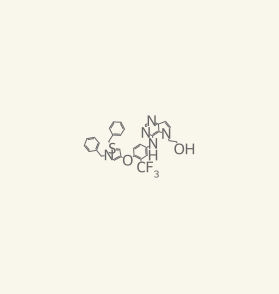 OCCn1ccc2ncnc(Nc3ccc(OC4=CN(Cc5ccccc5)S(Cc5ccccc5)=C4)c(C(F)(F)F)c3)c21